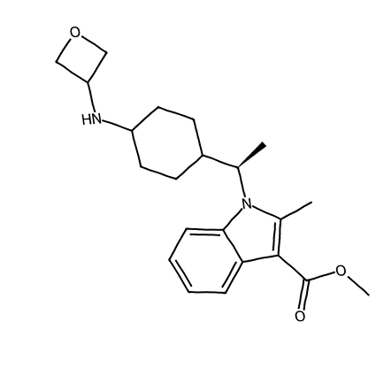 COC(=O)c1c(C)n([C@H](C)C2CCC(NC3COC3)CC2)c2ccccc12